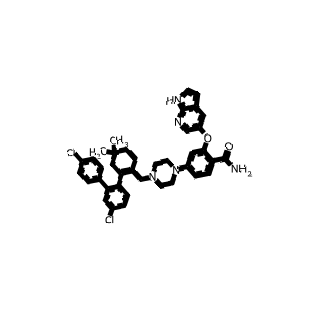 CC1(C)CCC(CN2CCN(c3ccc(C(N)=O)c(Oc4cnc5[nH]ccc5c4)c3)CC2)=C(c2ccc(Cl)cc2-c2ccc(Cl)cc2)C1